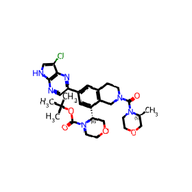 C[C@H]1COCCN1C(=O)N1CCc2cc(-c3cnc4[nH]cc(Cl)c4n3)cc([C@@H]3COCCN3C(=O)OC(C)(C)C)c2C1